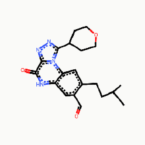 CC(C)CCc1cc2c(cc1C=O)[nH]c(=O)c1nnc(C3CCOCC3)n12